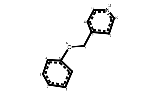 [c]1ccccc1OCc1ccncc1